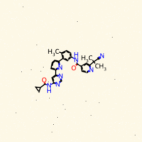 Cc1ccc(NC(=O)c2ccnc(C(C)(C)C#N)c2)cc1-c1cccc(-c2cc(NC(=O)C3CC3)ncn2)n1